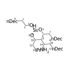 CCCCCCCCCCCCO[SiH](OCCCCCCCCCCCC)OC(CC(C)C)CC(N)CCCCCCCCCCC